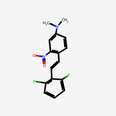 CN(C)c1ccc(C=Cc2c(F)cccc2F)c([N+](=O)[O-])c1